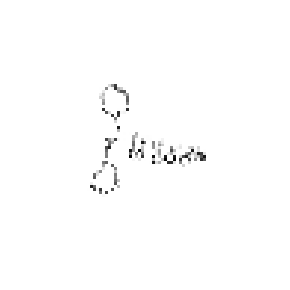 [C](Oc1ccccc1)c1ccccc1.[C]=O.[C]=O.[C]=O.[C]=O.[C]=O.[W]